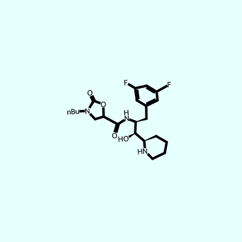 CCCCN1CC(C(=O)N[C@@H](Cc2cc(F)cc(F)c2)[C@H](O)[C@H]2CCCCN2)OC1=O